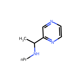 CCCNC(C)c1cnccn1